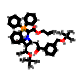 C=CCOC(=O)C(N1C(=O)[C@H](C(C)O[Si](C)(C)C(C)(C)C)[C@H]1CC(=O)c1cccc(CO[Si](C)(C)C(C)(C)C)c1)=P(c1ccccc1)(c1ccccc1)c1ccccc1